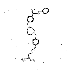 CN(C)CCCOc1ccc(CN2CCCN(Cc3ccc(C(=O)NCc4ccccc4)cc3)CC2)cc1